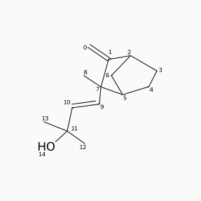 C=C1C2CCC(C2)C1(C)C=CC(C)(C)O